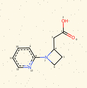 O=C(O)CC1CCN1c1ccccn1